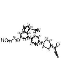 C#CC(=O)N1CCN(c2ccc(-c3cc(OCCO)cn4ncc(C#N)c34)cn2)CC1